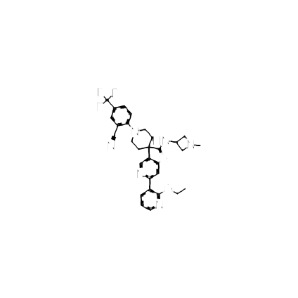 CCOc1ncccc1-c1ccc(C2(C(=O)NC3CN(C)C3)CCN(c3ccc(C(F)(F)F)cc3C#N)CC2)cn1